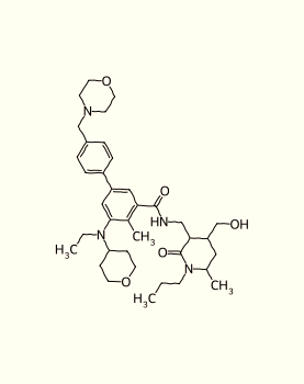 CCCN1C(=O)C(CNC(=O)c2cc(-c3ccc(CN4CCOCC4)cc3)cc(N(CC)C3CCOCC3)c2C)C(CO)CC1C